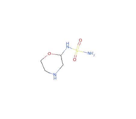 NS(=O)(=O)NC1CNCCO1